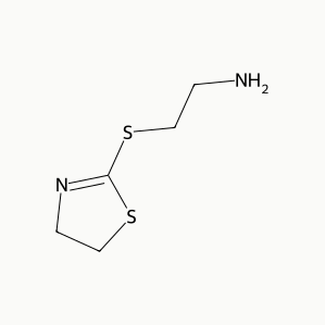 NCCSC1=NCCS1